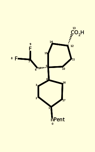 CCCCCC1CCC([C@]2(CC(F)F)CC[C@@H](C(=O)O)CC2)CC1